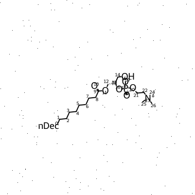 CCCCCCCCCCCCCCCCCCC(=O)OC[C@H](CO)OP(=O)([O-])OCC[N+](C)(C)C